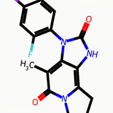 Cc1c(=O)n2c(c3[nH]c(=O)n(-c4ccc(I)cc4F)c13)CCC2